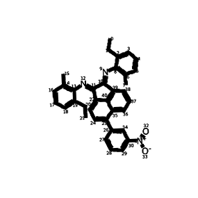 CCc1cccc(C)c1N=C1C(=Nc2c(C)cccc2CC)c2ccc(-c3cccc([N+](=O)[O-])c3)c3cccc1c23